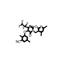 COc1nc(C)cc(C)c1Cn1cnc(C(F)(F)C(F)F)c(Oc2cc(C)cc(C#N)c2C)c1=O